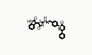 O=C1N=C(NN=Cc2ccc(-n3nc(-c4ccccc4)ccc3=O)cc2)SC1=C1C(=O)Nc2ccccc21